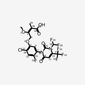 COC(COc1cc(-n2c(=O)cc(C(F)(F)F)n(C(F)F)c2=O)c(F)cc1Cl)=C(C)C(=O)O